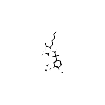 CCCCCC(CC)N(C(=O)C(C)(C)c1ccc(OC)c(N=S(=O)=O)c1)C(=S)NC